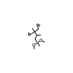 CO[Si](C)(CC(C)C(C)(Br)CBr)OC